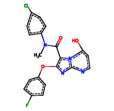 CN(C(=O)c1c(Oc2ccc(F)cc2)nc2nccc(O)n12)c1ccc(Cl)cc1